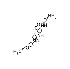 CC#CCOc1ccc(-c2cnc3c(Nc4ccc(C(=O)NCCOCCN)c(C)c4)nccn23)cc1